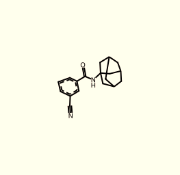 N#Cc1cccc(C(=O)NC23CC4CC(CC(C4)C2)C3)c1